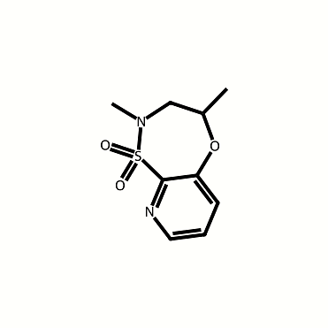 CC1CN(C)S(=O)(=O)c2ncccc2O1